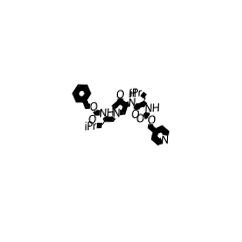 CC(C)C[C@@H](CN1CC(=O)C(NC(=O)[C@H](CC(C)C)NC(=O)OCc2ccncc2)C1)NC(=O)OCc1ccccc1